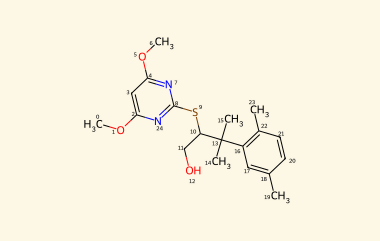 COc1cc(OC)nc(SC(CO)C(C)(C)c2cc(C)ccc2C)n1